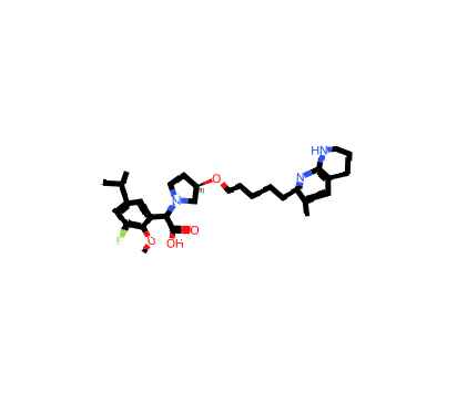 COc1c(F)cc(C(C)C)cc1C(C(=O)O)N1CC[C@@H](OCCCCCc2nc3c(cc2C)CCCN3)C1